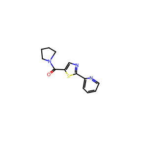 O=C(c1cnc(-c2ccccn2)s1)N1CCCC1